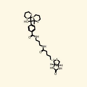 CC1(C(O)(c2ccc(C(=O)NCCCNC(=O)CCCC[C@@H]3SC[C@@H]4NC(=O)N[C@@H]43)cc2)C2(C)SCCCS2)SCCCS1